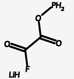 O=C(F)C(=O)OP.[LiH]